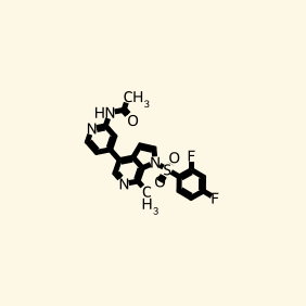 CC(=O)Nc1cc(-c2cnc(C)c3c2ccn3S(=O)(=O)c2ccc(F)cc2F)ccn1